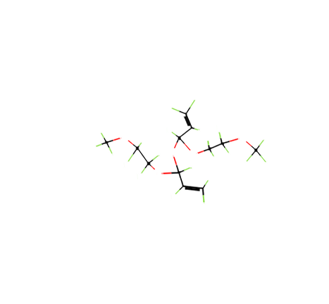 FC(F)=C(F)C(F)(OC(F)(OC(F)(F)C(F)(F)OC(F)(F)F)C(F)=C(F)F)OC(F)(F)C(F)(F)OC(F)(F)F